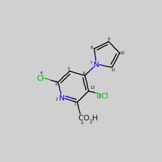 O=C(O)c1nc(Cl)cc(-n2cccc2)c1Cl